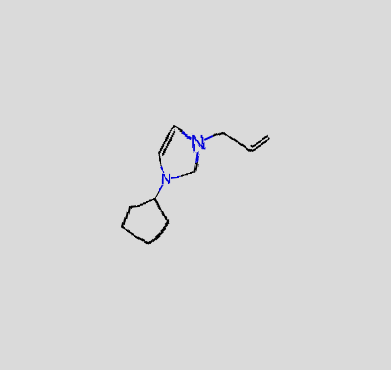 C=CCN1C=CN(C2CCCC2)C1